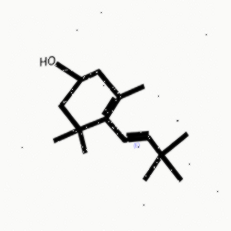 CC1=C(/C=C/C(C)(C)C)C(C)(C)CC(O)C1